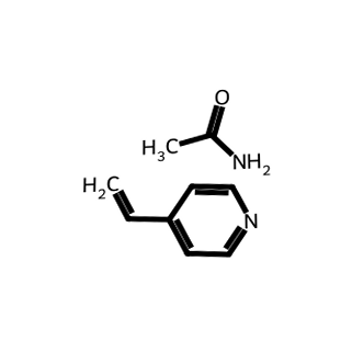 C=Cc1ccncc1.CC(N)=O